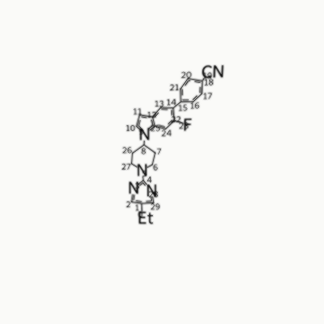 CCc1cnc(N2CCC(n3ccc4cc(-c5ccc(C#N)cc5)c(F)cc43)CC2)nc1